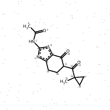 CC(=O)Nc1nc2c(s1)C(=O)C(C(=O)C1(C)CC1)CC2